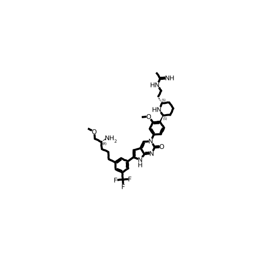 COC[C@H](N)CCCc1cc(-c2cc3cn(-c4ccc([C@@H]5CCC[C@@H](CCNC(C)=N)N5)c(OC)c4)c(=O)nc3[nH]2)cc(C(F)(F)F)c1